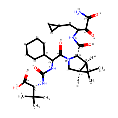 CC(C)(C)[C@@H](NC(=O)N[C@H](C(=O)N1C[C@H]2[C@@H]([C@H]1C(=O)NC(CC1CC1)C(=O)C(N)=O)C2(C)C)C1CCCCC1)C(=O)O